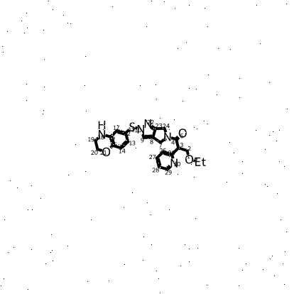 CCOCC(C(=O)N1Cc2cn(Sc3ccc4c(c3)NCCO4)nc2C1)c1ccccn1